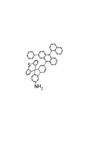 Nc1ccc2c(c1)C1C=CC(c3c4ccccc4c(-c4cccc5ccccc45)c4ccc(-c5ccccc5)cc34)=CC1C21c2ccccc2Sc2ccccc21